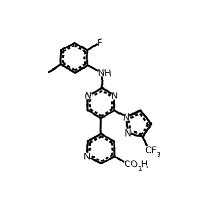 Cc1ccc(F)c(Nc2ncc(-c3cncc(C(=O)O)c3)c(-n3ccc(C(F)(F)F)n3)n2)c1